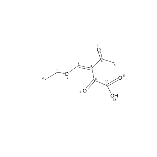 CCOC=C(C(C)=O)C(=O)C(=O)O